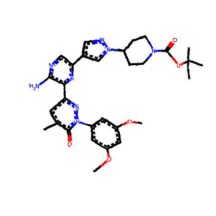 COc1cc(OC)cc(-n2nc(-c3nc(-c4cnn(C5CCN(C(=O)OC(C)(C)C)CC5)c4)cnc3N)cc(C)c2=O)c1